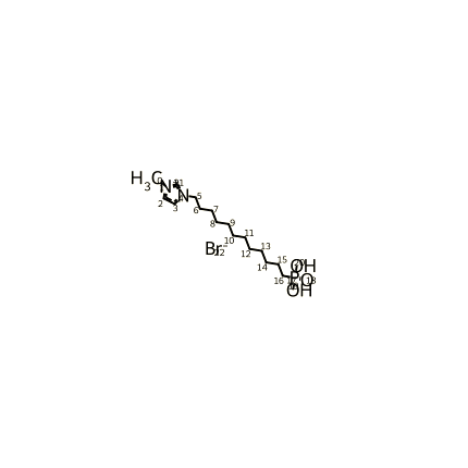 C[n+]1ccn(CCCCCCCCCCCCP(=O)(O)O)c1.[Br-]